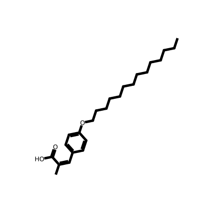 CCCCCCCCCCCCCCOc1ccc(C=C(C)C(=O)O)cc1